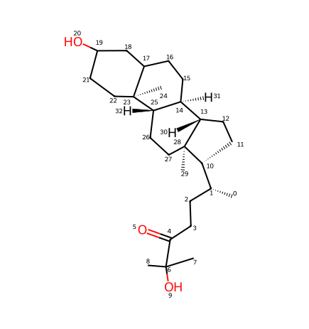 C[C@H](CCC(=O)C(C)(C)O)[C@H]1CC[C@H]2[C@@H]3CCC4CC(O)CC[C@]4(C)[C@H]3CC[C@]12C